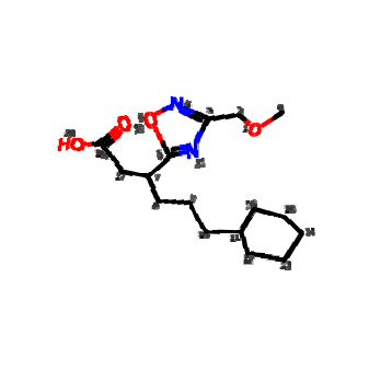 COCc1noc(C(CCCC2CCCCC2)CC(=O)O)n1